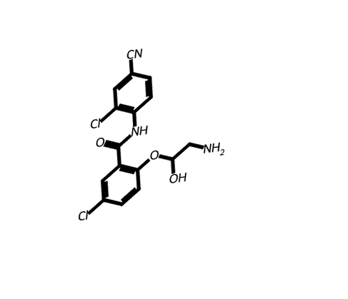 N#Cc1ccc(NC(=O)c2cc(Cl)ccc2OC(O)CN)c(Cl)c1